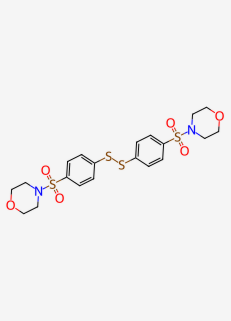 O=S(=O)(c1ccc(SSc2ccc(S(=O)(=O)N3CCOCC3)cc2)cc1)N1CCOCC1